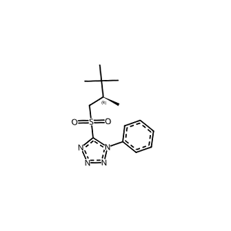 C[C@@H](CS(=O)(=O)c1nnnn1-c1ccccc1)C(C)(C)C